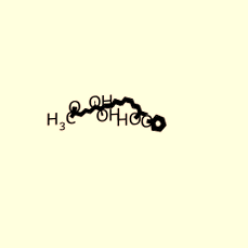 CC(=O)CCC[C@H](O)[C@H](O)/C=C/C=C/C=C\C=C\C(O)COc1ccccc1